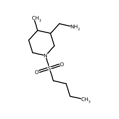 CCCCS(=O)(=O)N1CCC(C)C(CN)C1